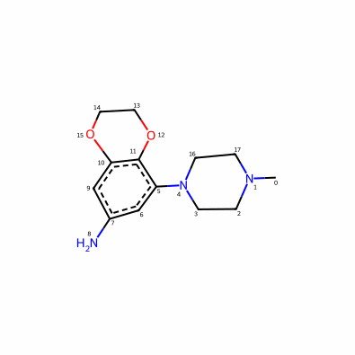 CN1CCN(c2cc(N)cc3c2OCCO3)CC1